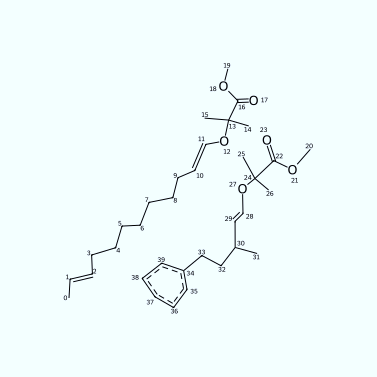 CC=CCCCCCCCC=COC(C)(C)C(=O)OC.COC(=O)C(C)(C)OC=CC(C)CCc1ccccc1